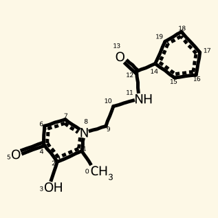 Cc1c(O)c(=O)ccn1CCNC(=O)c1ccccc1